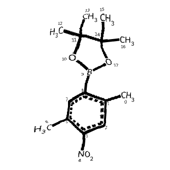 Cc1cc([N+](=O)[O-])c(C)cc1B1OC(C)(C)C(C)(C)O1